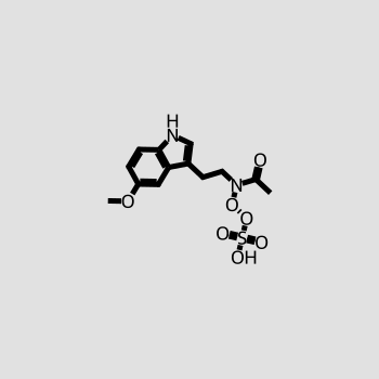 COc1ccc2[nH]cc(CCN(OOS(=O)(=O)O)C(C)=O)c2c1